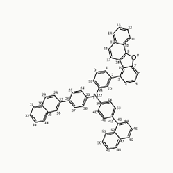 c1cc(-c2cccc3oc4c5ccccc5ccc4c23)cc(N(c2ccc(-c3ccc4ccccc4c3)cc2)c2ccc(-c3cccc4ccccc34)cc2)c1